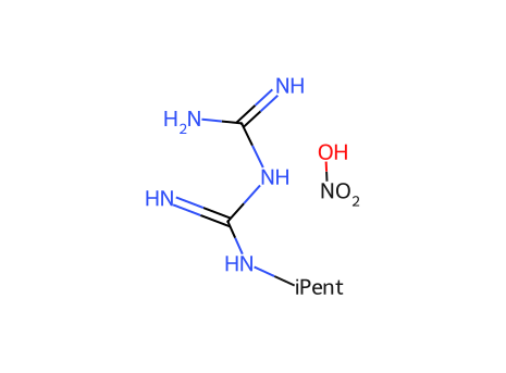 CCCC(C)NC(=N)NC(=N)N.O=[N+]([O-])O